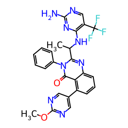 COc1ncc(-c2cccc3nc(C(C)Nc4nc(N)ncc4C(F)(F)F)n(-c4ccccc4)c(=O)c23)cn1